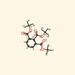 CC(C)(C)OC(=O)c1cccc(C(=O)OC(C)(C)C)c1C(=O)OC(C)(C)C